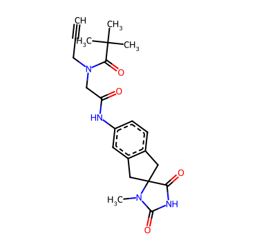 C#CCN(CC(=O)Nc1ccc2c(c1)CC1(C2)C(=O)NC(=O)N1C)C(=O)C(C)(C)C